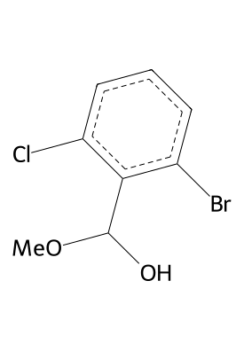 COC(O)c1c(Cl)cccc1Br